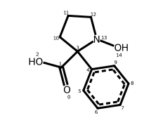 O=C(O)C1(c2ccccc2)CCCN1O